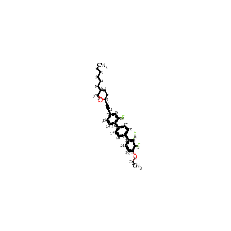 CCCCCCC1CCC(C#Cc2ccc(-c3ccc(-c4ccc(OCC)c(F)c4F)cc3)c(F)c2)OC1